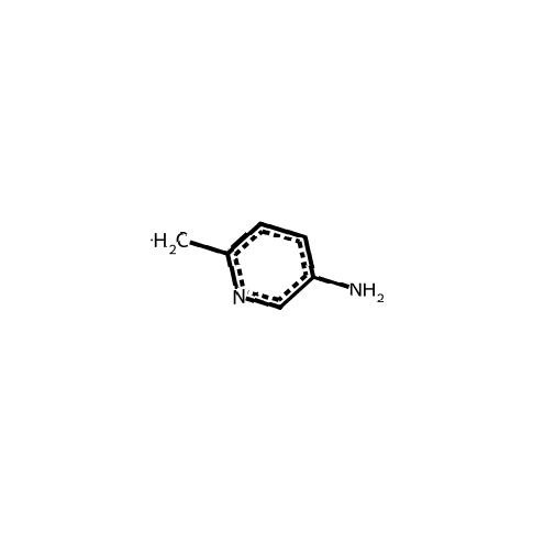 [CH2]c1ccc(N)cn1